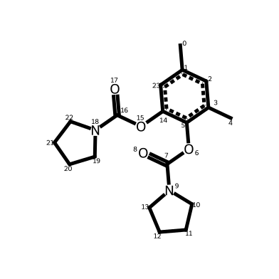 Cc1cc(C)c(OC(=O)N2CCCC2)c(OC(=O)N2CCCC2)c1